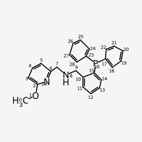 COc1cccc(CNCc2ccccc2P(c2ccccc2)c2ccccc2)n1